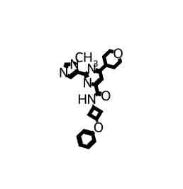 Cn1cncc1-c1nc(C(=O)N[C@H]2C[C@H](Oc3ccccc3)C2)cc(C2CCOCC2)n1